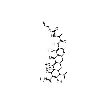 C=CCOC(=O)NC(C)C(=O)Nc1ccc2c(c1O)C(=O)C1=C(O)C3(O)C(=O)C(C(N)=O)=C(O)C(N(C)C)C3CC1C2